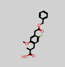 COc1cc(CC(=O)OCc2ccccc2)c(F)cc1CC(C)C(=O)O